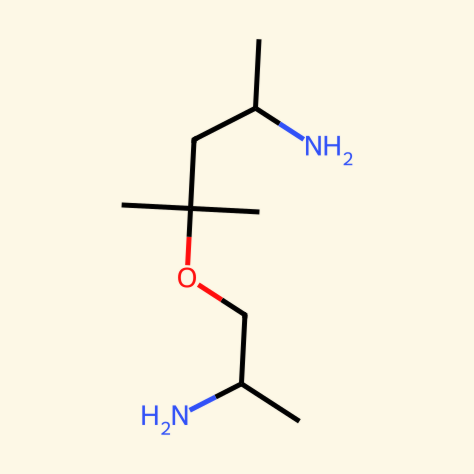 CC(N)COC(C)(C)CC(C)N